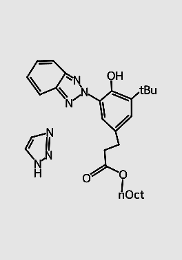 CCCCCCCCOC(=O)CCc1cc(-n2nc3ccccc3n2)c(O)c(C(C)(C)C)c1.c1c[nH]nn1